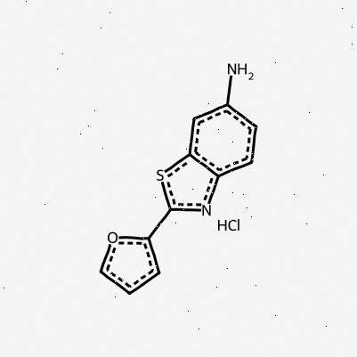 Cl.Nc1ccc2nc(-c3ccco3)sc2c1